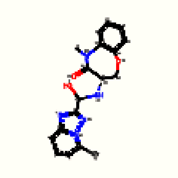 CC(C)c1cccc2nc(C(O)N[C@H]3COc4ccccc4N(C)C3=O)nn12